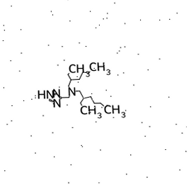 CCCCC(CC)CN(Cc1nc[nH]n1)CC(CC)CCCC